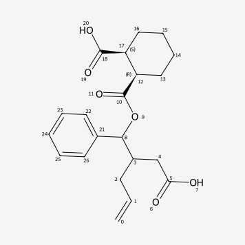 C=CCC(CC(=O)O)C(OC(=O)[C@@H]1CCCC[C@@H]1C(=O)O)c1ccccc1